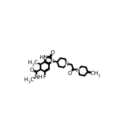 C=C1CCN(C(=O)CN2CCC(n3c4c([nH]c3=O)C(C)C(C(=O)NC)C(F)=C4)CC2)CC1